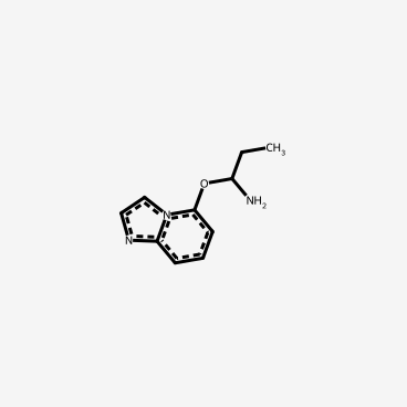 CCC(N)Oc1cccc2nccn12